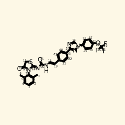 Cc1cccc(C)c1N1C(=O)CS/C1=N\C(=O)N/C=C/c1ccc(-c2ncn(-c3ccc(OC(F)(F)F)cc3)n2)cc1